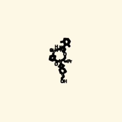 Cc1cccc(C)c1-c1cc2nc(n1)N[S+]([O-])c1cccc(c1)C(=O)N(C1CC3(CCN(CCO)CC3)C1)[C@H](CC(C)C)CO2